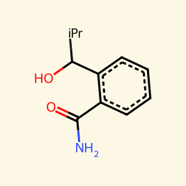 CC(C)C(O)c1ccccc1C(N)=O